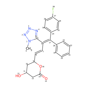 Cn1nnnc1C(/C=C/C1CC(O)CC(=O)O1)=C(/c1ccccc1)c1ccc(F)cc1